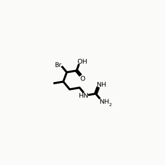 CC(CCNC(=N)N)C(Br)C(=O)O